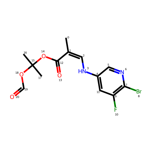 C/C(=C/Nc1cnc(Br)c(F)c1)C(=O)OC(C)(C)OC=O